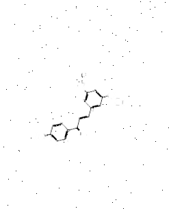 CCOc1cc(C=CC(=O)c2ccc(O)cc2)cc(OCC)c1